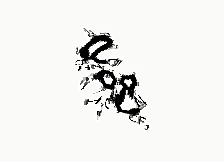 CN(c1cc(C(F)(F)F)nc2ccccc12)[C@H]1CC[C@@H](NC(=O)c2ccccc2Cl)CC1